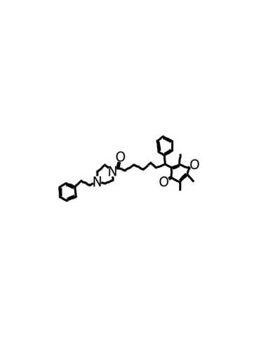 CC1=C(C)C(=O)C(C(CCCCCC(=O)N2CCN(CCc3ccccc3)CC2)c2ccccc2)=C(C)C1=O